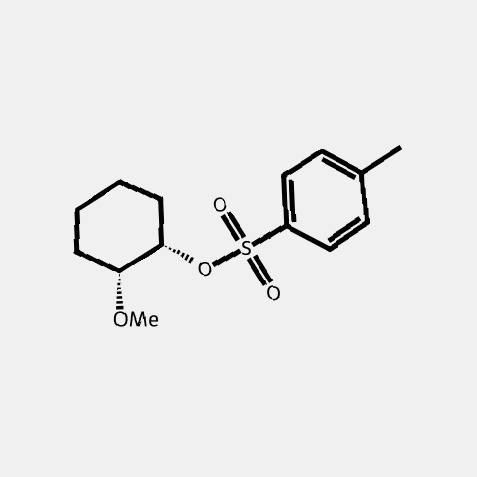 CO[C@@H]1CCCC[C@@H]1OS(=O)(=O)c1ccc(C)cc1